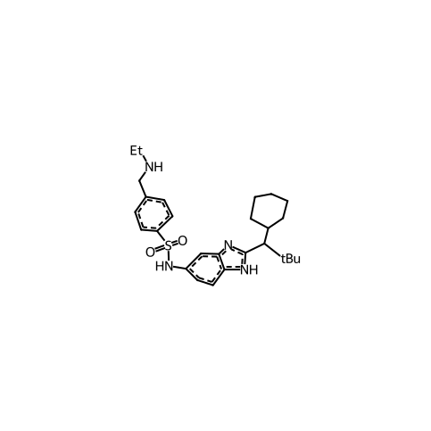 CCNCc1ccc(S(=O)(=O)Nc2ccc3[nH]c(C(C4CCCCC4)C(C)(C)C)nc3c2)cc1